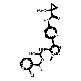 COC1(C(=O)Nc2ccc(-c3nnn(C)c3NC(O)O[C@H](C)c3cccnc3Cl)nc2)CC1